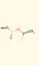 C=C(F)OS(=O)OC